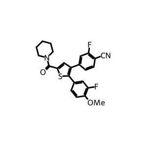 COc1ccc(-c2sc(C(=O)N3CCCCC3)cc2-c2ccc(C#N)c(F)c2)cc1F